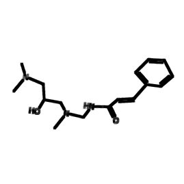 CN(C)CC(O)CN(C)CNC(=O)C=Cc1ccccc1